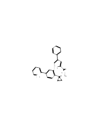 CN1C(=O)c2cc(-c3ccccc3)cn2-c2cc(-c3ccccn3)ccc2C12CC2